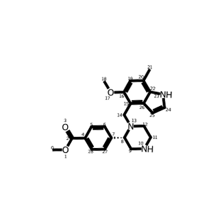 COC(=O)c1ccc([C@H]2CNCCN2Cc2c(OC)cc(C)c3[nH]ccc23)cc1